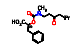 CC(C)CC(=O)CCN(C)C(=O)O[C@@H](Cc1ccccc1)C(=O)O